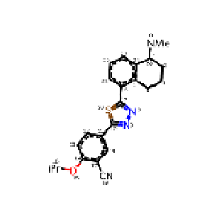 CN[C@H]1CCCc2c(-c3nnc(-c4ccc(OC(C)C)c(C#N)c4)s3)cccc21